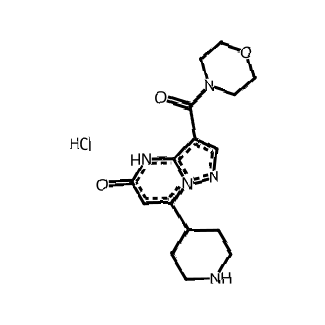 Cl.O=C(c1cnn2c(C3CCNCC3)cc(=O)[nH]c12)N1CCOCC1